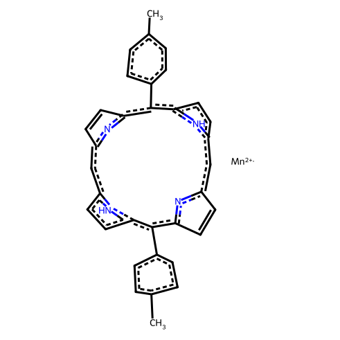 Cc1ccc(-c2c3nc(cc4ccc([nH]4)c(-c4ccc(C)cc4)c4nc(cc5ccc2[nH]5)C=C4)C=C3)cc1.[Mn+2]